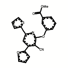 COC(=O)c1cccc(Oc2nc(-c3cccs3)cc(-c3ccco3)c2C#N)c1